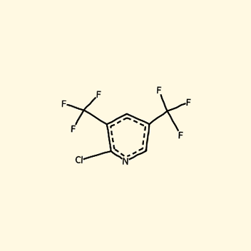 FC(F)(F)c1cnc(Cl)c(C(F)(F)F)c1